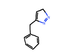 C1=C(Cc2ccccc2)N=NC1